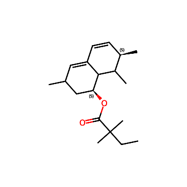 CCC(C)(C)C(=O)O[C@H]1CC(C)C=C2C=C[C@@H](C)C(C)C21